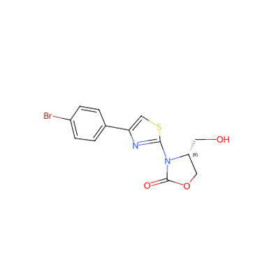 O=C1OC[C@@H](CO)N1c1nc(-c2ccc(Br)cc2)cs1